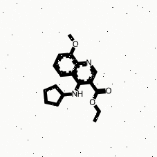 CCOC(=O)c1cnc2c(OC)cccc2c1NC1CCCC1